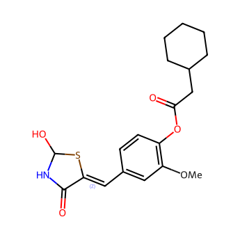 COc1cc(/C=C2\SC(O)NC2=O)ccc1OC(=O)CC1CCCCC1